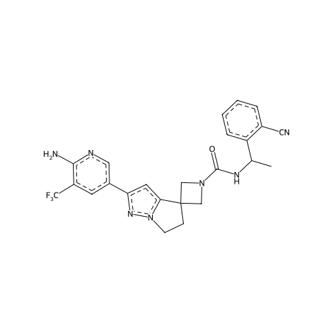 CC(NC(=O)N1CC2(CCn3nc(-c4cnc(N)c(C(F)(F)F)c4)cc32)C1)c1ccccc1C#N